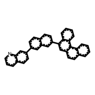 c1cnc2cc(-c3ccc4ccc(-c5cc6ccc7ccccc7c6c6ccccc56)cc4c3)ccc2c1